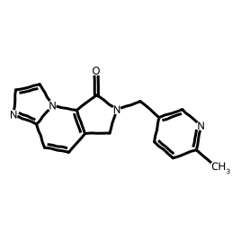 Cc1ccc(CN2Cc3ccc4nccn4c3C2=O)cn1